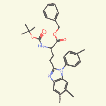 Cc1ccc(-n2c(CC[C@@H](NC(=O)OC(C)(C)C)C(=O)OCc3ccccc3)nc3cc(C)c(C)cc32)cc1